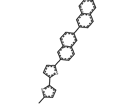 Cc1ccc(-c2ccc(-c3ccc4cc(-c5ccc6ccccc6c5)ccc4c3)s2)s1